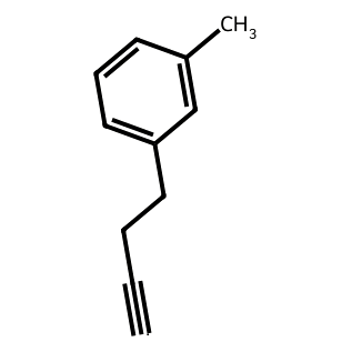 [C]#CCCc1cccc(C)c1